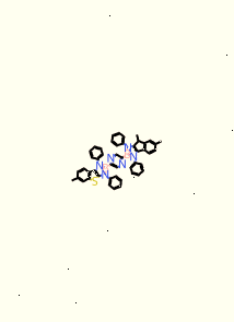 Cc1ccc2c(c1)C(C)C1=C2N(c2ccccc2)B(c2cnc(B3N(c4ccccc4)c4sc5cc(C)ccc5c4N3c3ccccc3)cn2)N1c1ccccc1